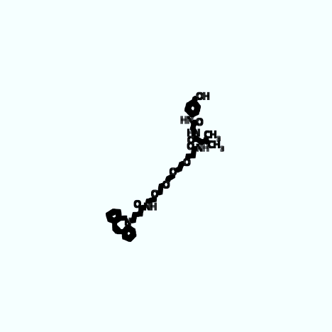 CC(C)C(NC(=O)CCOCCOCCOCCOCCNC(=O)CCCN1Cc2ccccc2C#Cc2ccccc21)C(=O)NCC(=O)Nc1ccc(CO)cc1